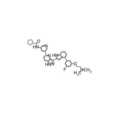 CN(C)CCOc1cc(F)cc(-c2cccc3[nH]c(-c4n[nH]c5ccc(-c6cncc(NC(=O)C7CCCC7)c6)nc45)cc23)c1